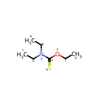 C[CH]OC(=S)N(CC)CC